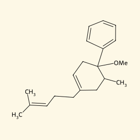 COC1(c2ccccc2)CC=C(CCC=C(C)C)CC1C